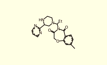 CCC(N1CCNC(c2ncccn2)C1)N1C(=O)COc2cc(C)ccc2C1=O